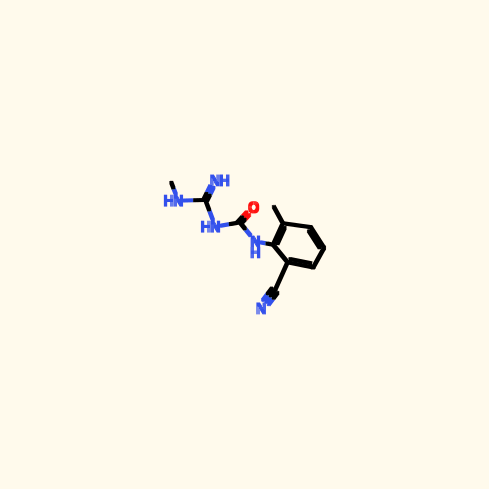 CNC(=N)NC(=O)Nc1c(C)cccc1C#N